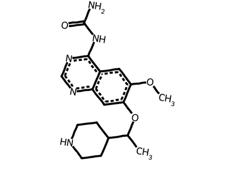 COc1cc2c(NC(N)=O)ncnc2cc1OC(C)C1CCNCC1